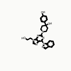 OCCn1cnc2c(-n3ncc4ccccc43)nc(N3CCC(O)(c4ccc(O)cc4)CC3)nc21